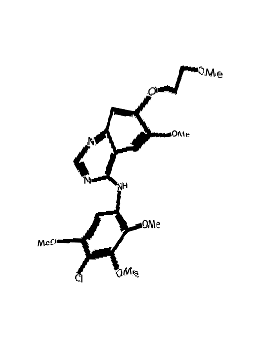 COCCOc1cc2ncnc(Nc3cc(OC)c(Cl)c(OC)c3OC)c2cc1OC